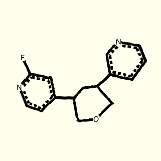 Fc1cc(C2[CH]OCC(c3cccnc3)C2)ccn1